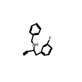 C#CC(Cc1cccc(F)c1)NCc1ccccc1